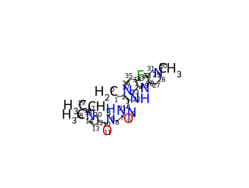 C=Cc1c(-c2noc(CNC(=O)c3ccn(C(C)(C)C)c3)n2)nc2c(N[C@@H]3CCN(C)C[C@@H]3F)cccn12